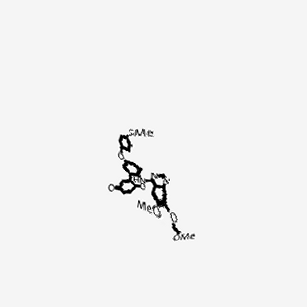 COCCOc1cc2ncnc(Nc3ccc(Oc4ccc(SC)cc4)cc3C3=CC(=O)C=CC3=O)c2cc1OC